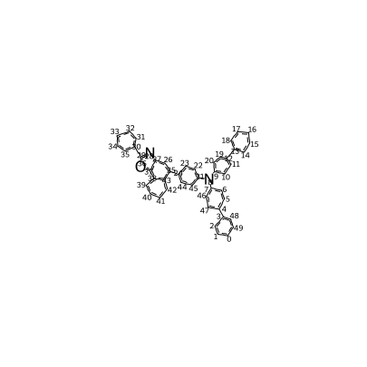 c1ccc(-c2ccc(N(c3ccc(-c4ccccc4)cc3)c3ccc(-c4cc5nc(-c6ccccc6)oc5c5ccccc45)cc3)cc2)cc1